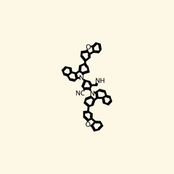 N#Cc1cc(-n2c3ccc(-c4ccc5oc6ccccc6c5c4)cc3c3c4ccccc4ccc32)cc(C=N)c1-n1c2ccc(-c3ccc4oc5ccccc5c4c3)cc2c2c3ccccc3ccc21